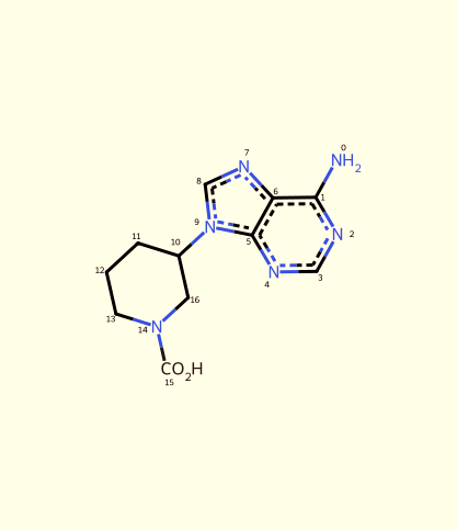 Nc1ncnc2c1ncn2C1CCCN(C(=O)O)C1